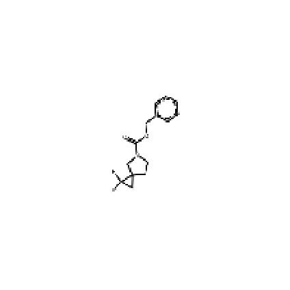 O=C(OCc1ccccc1)N1CCC2(C1)CC2(F)F